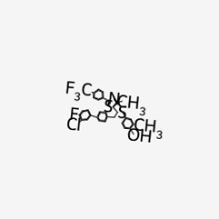 Cc1cc(SC(Cc2ccc(-c3ccc(F)c(Cl)c3)cc2)c2sc(-c3ccc(C(F)(F)F)cc3)nc2C)ccc1O